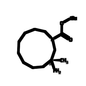 CC(C)(C)OC(=O)N1CCCCCCCC[C@](C)(P)C1